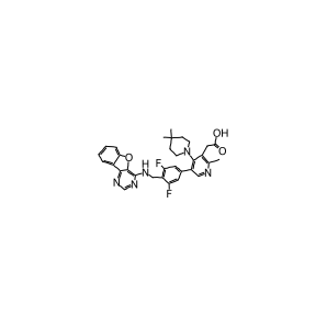 Cc1ncc(-c2cc(F)c(CNc3ncnc4c3oc3ccccc34)c(F)c2)c(N2CCC(C)(C)CC2)c1CC(=O)O